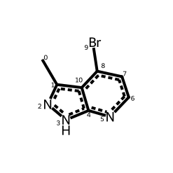 Cc1n[nH]c2nccc(Br)c12